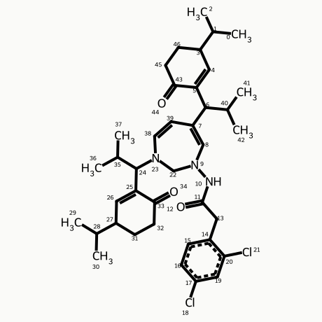 CC(C)C1C=C(C(C2=CN(NC(=O)Cc3ccc(Cl)cc3Cl)CN(C(C3=CC(C(C)C)CCC3=O)C(C)C)C=C2)C(C)C)C(=O)CC1